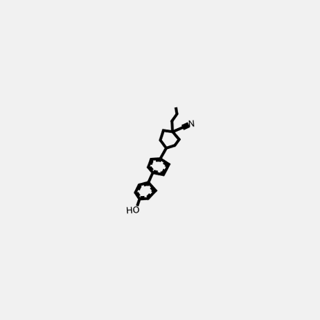 CCCC1(C#N)CCC(c2ccc(-c3ccc(O)cc3)cc2)CC1